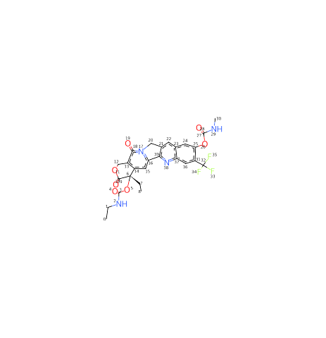 CCNC(=O)O[C@]1(CC)C(=O)OCc2c1cc1n(c2=O)Cc2cc3cc(OC(=O)NC)c(C(F)(F)F)cc3nc2-1